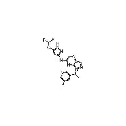 CC(c1cncc(F)c1)n1ncc2ncc(Nc3cc(OC(F)F)[nH]n3)nc21